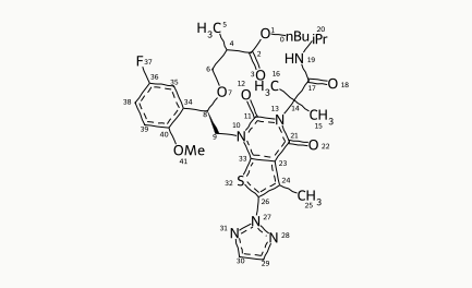 CCCCOC(=O)C(C)CO[C@@H](Cn1c(=O)n(C(C)(C)C(=O)NC(C)C)c(=O)c2c(C)c(-n3nccn3)sc21)c1cc(F)ccc1OC